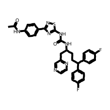 CC(=O)Nc1ccc(-c2nsc(NC(=O)NC(CCC(c3ccc(F)cc3)c3ccc(F)cc3)Cc3cnccn3)n2)cc1